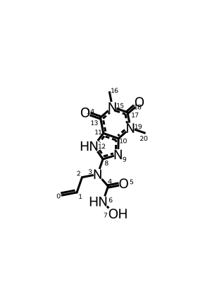 C=CCN(C(=O)NO)c1nc2c([nH]1)c(=O)n(C)c(=O)n2C